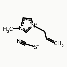 C=CC[n+]1ccn(C)c1.N#C[S-]